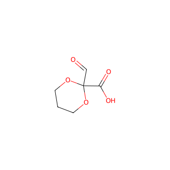 O=CC1(C(=O)O)OCCCO1